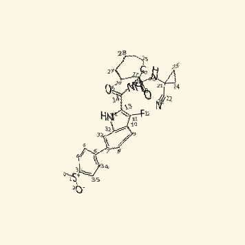 C[S+]([O-])c1ccc(-c2ccc3c(F)c(C(=O)NC4(C(=O)NC5(C#N)CC5)CCCCC4)[nH]c3c2)cc1